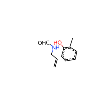 C=CCNC=O.Cc1ccccc1O